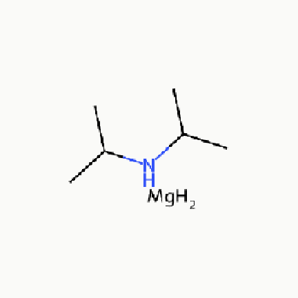 CC(C)NC(C)C.[MgH2]